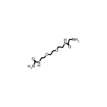 NCC(=O)NCCOCCOCCNC(N)=O